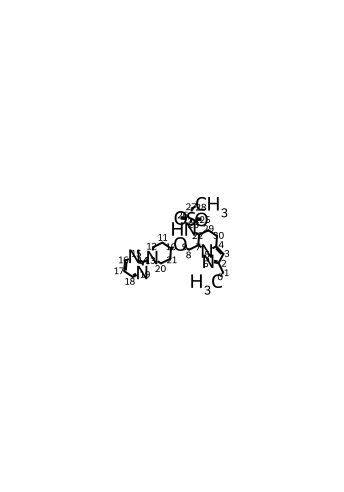 CCc1cc2n(n1)C(COC1CCN(c3ncccn3)CC1)C(NS(=O)(=O)CC)CC2